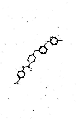 COc1ccc(NC(=O)N2CCC(Cc3cccc(Oc4ccc(C)cn4)c3)CC2)cc1